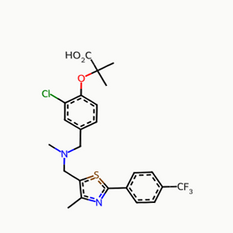 Cc1nc(-c2ccc(C(F)(F)F)cc2)sc1CN(C)Cc1ccc(OC(C)(C)C(=O)O)c(Cl)c1